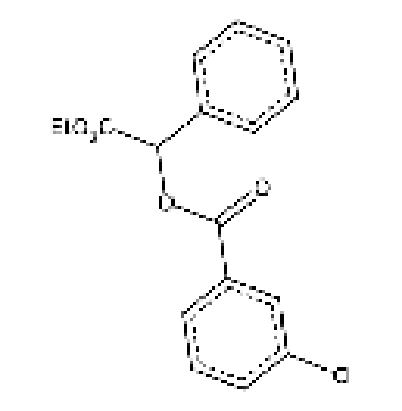 CCOC(=O)C(OC(=O)c1cccc(Cl)c1)c1ccccc1